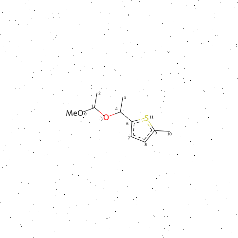 COC(C)OC(C)c1ccc(C)s1